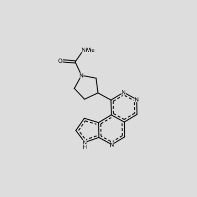 CNC(=O)N1CCC(c2nncc3cnc4[nH]ccc4c23)C1